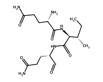 CC[C@H](C)[C@H](NC(=O)[C@@H](N)CCC(N)=O)C(=O)N[C@H]([C]=O)CCC(N)=O